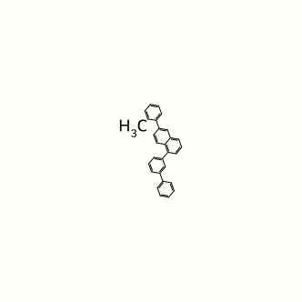 Cc1ccccc1-c1ccc2c(-c3cccc(-c4ccccc4)c3)cccc2c1